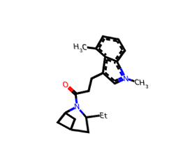 CCC1CC2CC(C2)N1C(=O)CCc1cn(C)c2cccc(C)c12